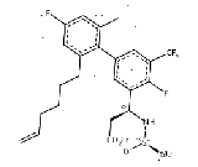 C=CCCCCc1cc(F)cc(C)c1-c1cc([C@H](CC(=O)OCC)N[S@+]([O-])C(C)(C)C)c(F)c(C(F)(F)F)c1